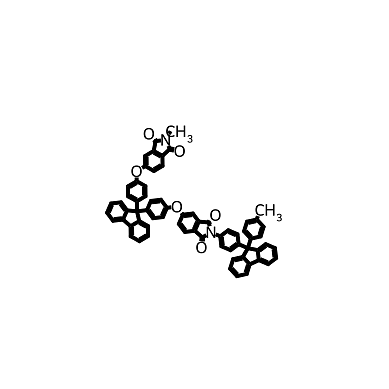 Cc1ccc(C2(c3ccc(N4C(=O)c5ccc(Oc6ccc(C7(c8ccc(Oc9ccc%10c(c9)C(=O)N(C)C%10=O)cc8)c8ccccc8-c8ccccc87)cc6)cc5C4=O)cc3)c3ccccc3-c3ccccc32)cc1